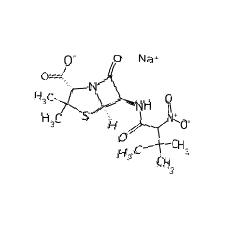 CC(C)(C)C(C(=O)N[C@@H]1C(=O)N2[C@@H]1SC(C)(C)[C@@H]2C(=O)[O-])[N+](=O)[O-].[Na+]